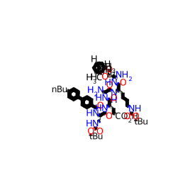 CCCCc1ccc(-c2ccc(C(=O)N[C@@H](CNC(=O)OC(C)(C)C)C(=O)N[C@@H](CCC(=O)O)C(=O)N[C@@H](N)C(=O)N[C@@H](CCCCNC(=O)OC(C)(C)C)C(=O)N[C@@H](N)B3O[C@@H]4C[C@@H]5C[C@@H](C5(C)C)[C@]4(C)O3)cc2)cc1